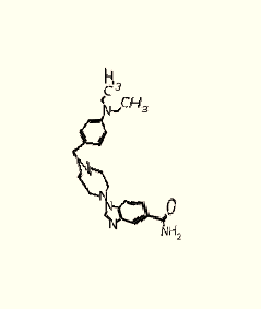 CCN(CC)c1ccc(CN2CCN(n3cnc4cc(C(N)=O)ccc43)CC2)cc1